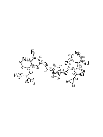 CC(C)Oc1ccnc2c(F)cc(OCC34CCC(OCc5c(-c6c(Cl)cncc6Cl)noc5C5CC5)(CC3)CC4)cc12